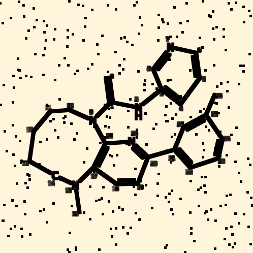 C=C(Nc1cccnc1)N1CCCCCN(C)c2ccc(-c3cccc(C)c3)nc21